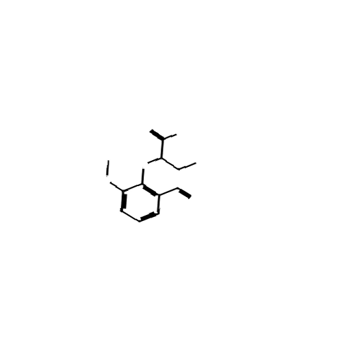 CCC(Oc1c(C=O)cccc1OC)C(=O)O